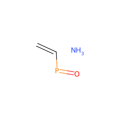 C=CP=O.N